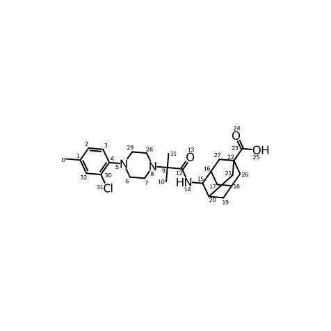 Cc1ccc(N2CCN(C(C)(C)C(=O)NC3C4CC5CC3CC(C(=O)O)(C5)C4)CC2)c(Cl)c1